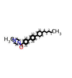 CCCCCC1CCC(c2ccc(-c3ccc(C(=O)N4CCN(C)CC4)cc3)cc2)CC1